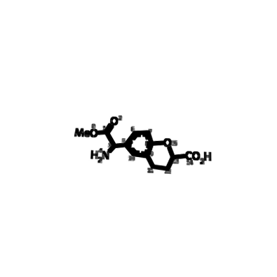 COC(=O)C(N)c1ccc2c(c1)CCC(C(=O)O)O2